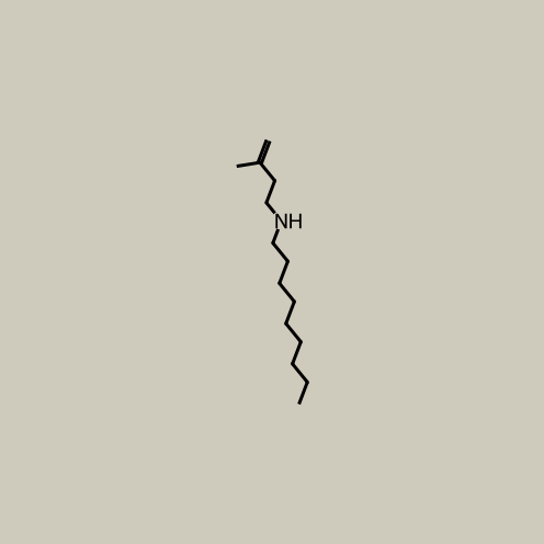 C=C(C)CCNCCCCCCCCC